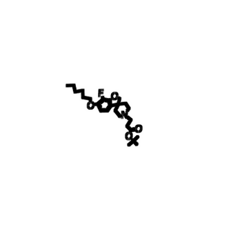 CCCCCCOc1ccc2c(c1F)OCC21CCN(CCC(=O)OC(C)(C)C)CC1